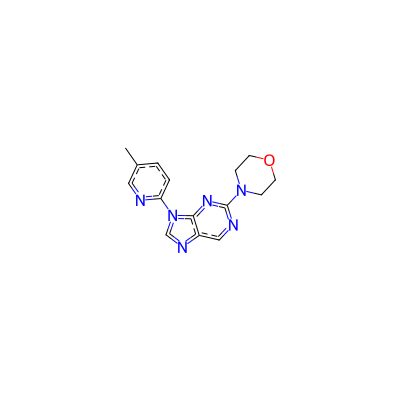 Cc1ccc(-n2cnc3cnc(N4CCOCC4)nc32)nc1